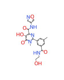 Cc1cc(C(=O)NCCO)cc(-c2nc(C(=O)Nc3cnoc3)c(O)c(=O)n2C)c1